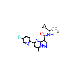 Cc1cc(-c2ccc(F)cn2)nc2c(C(=O)NC(C3CC3)C(F)(F)F)cnn12